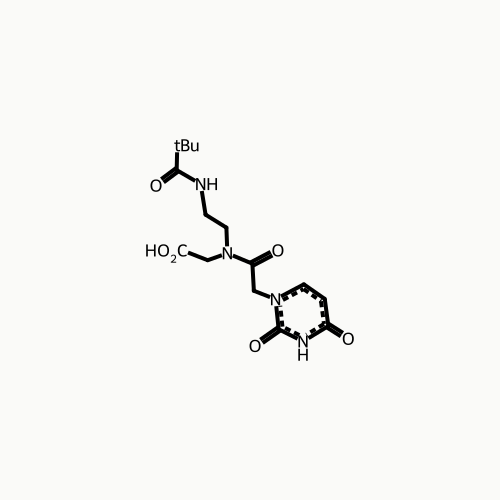 CC(C)(C)C(=O)NCCN(CC(=O)O)C(=O)Cn1ccc(=O)[nH]c1=O